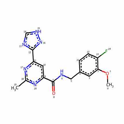 COc1cc(CNC(=O)c2cc(-c3nc[nH]n3)nc(C)n2)ccc1F